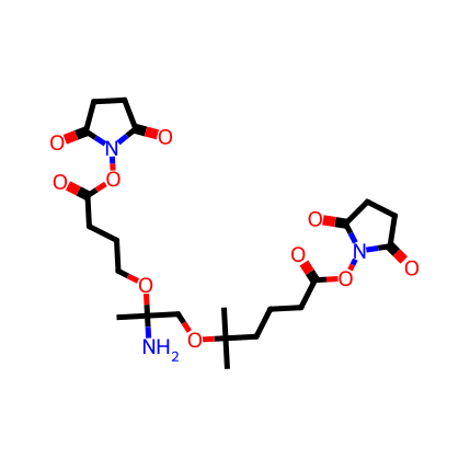 CC(C)(CCCC(=O)ON1C(=O)CCC1=O)OCC(C)(N)OCCCC(=O)ON1C(=O)CCC1=O